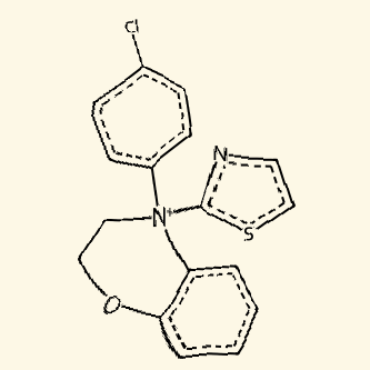 Clc1ccc([N+]2(c3nccs3)CCOc3ccccc32)cc1